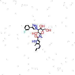 C=C/C=C\c1cc(C(=O)N(C)[C@@H]2OC(CO)[C@H](O)C(n3cc(-c4cccc(F)c4)nn3)C2O)[nH]c1C